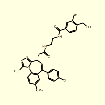 COc1ccc2c(c1)C(c1ccc(Cl)cc1)=N[C@@H](CC(=O)NCCNC(=O)c1ccc(CO)c(O)c1)c1nnc(C)n1-2